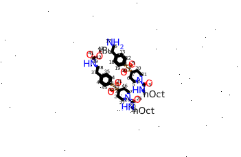 CCCCCCCCNC(=O)N1CCC(S(=O)(=O)c2ccc(CCN)cc2)CC1.CCCCCCCCNC(=O)N1CCC(S(=O)(=O)c2ccc(CCNC(=O)OC(C)(C)C)cc2)CC1